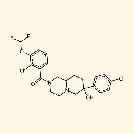 O=C(c1cccc(OC(F)F)c1Cl)N1CCN2CC(O)(c3ccc(Cl)cc3)CCC2C1